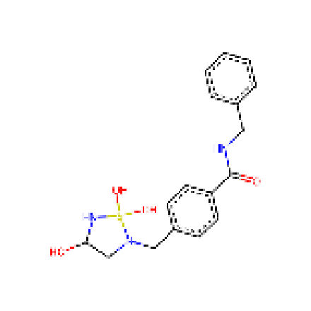 O=C(NCc1ccccc1)c1ccc(CN2CC(O)NS2(O)O)cc1